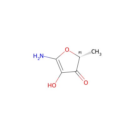 C[C@H]1OC(N)=C(O)C1=O